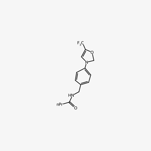 CCCC(=O)NCc1ccc(N2C=C(C(F)(F)F)OC2)cc1